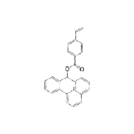 C=Cc1ccc(C(=O)OC2c3ccccc3-c3cccc4cccc2c34)cc1